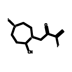 C=C(F)C(=O)CN1CCN(I)CCC1C#N